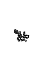 Nc1ncnc2c1c(-c1cc3ccccc3[nH]1)nn2CC(=O)N1CCOCC1